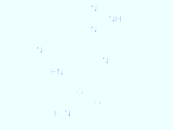 Cc1ccc(C#N)cc1Nc1nccc(-c2cc(C#N)c3c(c2)[C@@](C)(COC(=O)[C@H](C)N)CN3)n1